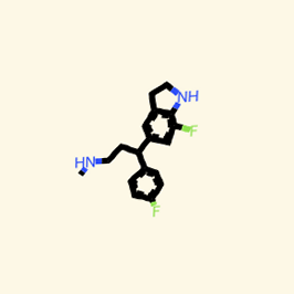 CNCCC(c1ccc(F)cc1)c1cc(F)c2c(c1)CCN2